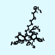 CCCCCCCCCC(c1ccc(O)cc1CC)c1ccc(O)cc1CC